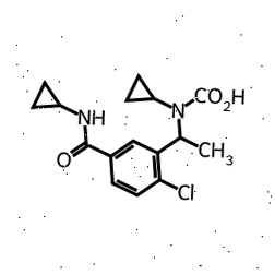 CC(c1cc(C(=O)NC2CC2)ccc1Cl)N(C(=O)O)C1CC1